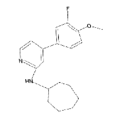 COc1ccc(-c2ccnc(NC3CCCCCC3)c2)cc1F